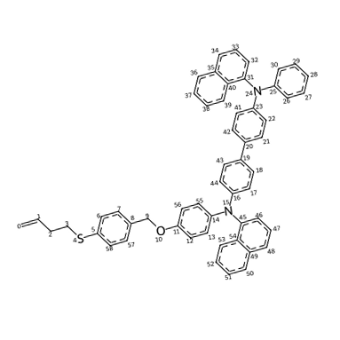 C=CCCSc1ccc(COc2ccc(N(c3ccc(-c4ccc(N(c5ccccc5)c5cccc6ccccc56)cc4)cc3)c3cccc4ccccc34)cc2)cc1